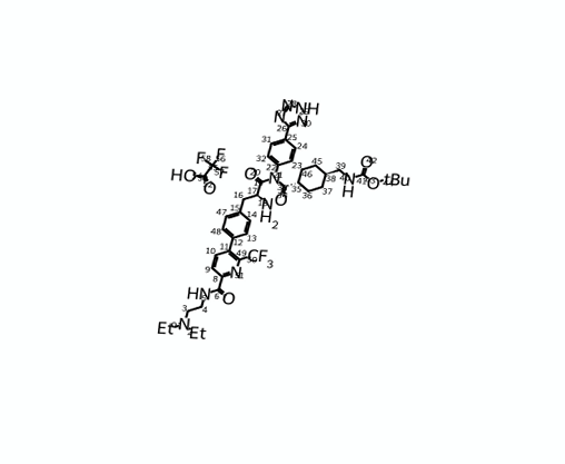 CCN(CC)CCNC(=O)c1ccc(-c2ccc(C[C@H](N)C(=O)N(c3ccc(-c4nn[nH]n4)cc3)C(=O)[C@H]3CC[C@H](CNC(=O)OC(C)(C)C)CC3)cc2)c(C(F)(F)F)n1.O=C(O)C(F)(F)F